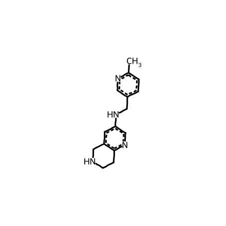 Cc1ccc(CNc2cnc3c(c2)CNCC3)cn1